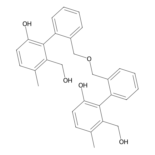 Cc1ccc(O)c(-c2ccccc2COCc2ccccc2-c2c(O)ccc(C)c2CO)c1CO